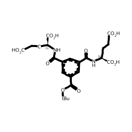 CC(C)(C)OC(=O)c1cc(C(=O)N[C@@H](CCC(=O)O)C(=O)O)cc(C(=O)N[C@@H](CCC(=O)O)C(=O)O)c1